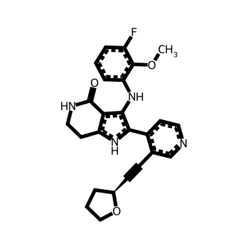 COc1c(F)cccc1Nc1c(-c2ccncc2C#C[C@@H]2CCCO2)[nH]c2c1C(=O)NCC2